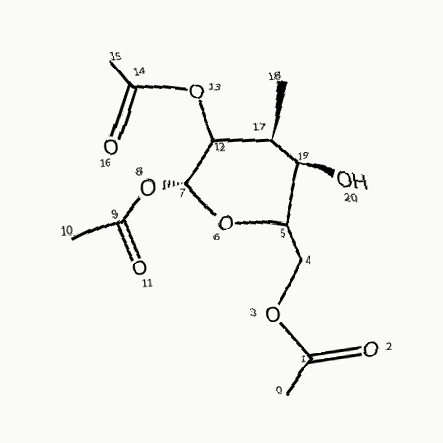 CC(=O)OCC1O[C@H](OC(C)=O)C(OC(C)=O)[C@@H](C)[C@H]1O